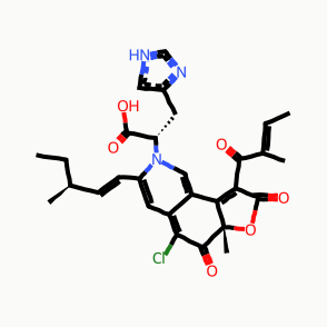 C/C=C(\C)C(=O)C1=C2C3=CN([C@@H](Cc4c[nH]cn4)C(=O)O)C(/C=C/[C@@H](C)CC)=CC3=C(Cl)C(=O)[C@@]2(C)OC1=O